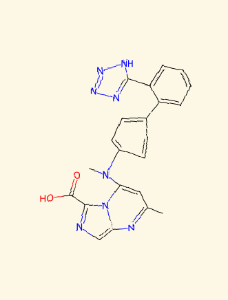 Cc1cc(N(C)c2ccc(-c3ccccc3-c3nnn[nH]3)cc2)n2c(C(=O)O)ncc2n1